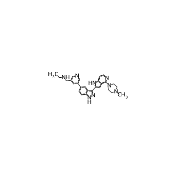 CCNCc1cncc(-c2ccc3[nH]nc(-c4cc5c(N6CCN(C)CC6)nccc5[nH]4)c3c2)c1